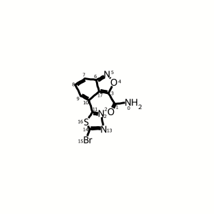 NC(=O)c1onc2cccc(-c3nnc(Br)s3)c12